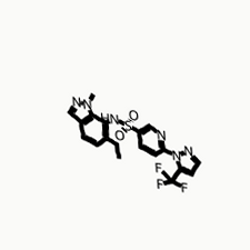 CCc1ccc2cnn(C)c2c1NS(=O)(=O)c1ccc(-n2nccc2C(F)(F)F)nc1